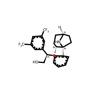 OC[C@H](O[C@@H]1CC[C@H]2CC[C@]1(c1ccccc1)N2)c1cc(C(F)(F)F)cc(C(F)(F)F)c1